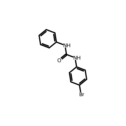 O=C(Nc1ccccc1)Nc1ccc(Br)cc1